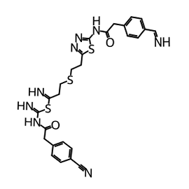 N#Cc1ccc(CC(=O)NC(=N)SC(=N)CCSCCc2nnc(NC(=O)Cc3ccc(C=N)cc3)s2)cc1